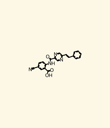 N#Cc1ccc(NC(=O)c2cnc(C=Cc3ccccc3)cn2)c(C(=O)O)c1